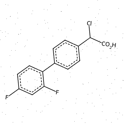 O=C(O)C(Cl)c1ccc(-c2ccc(F)cc2F)cc1